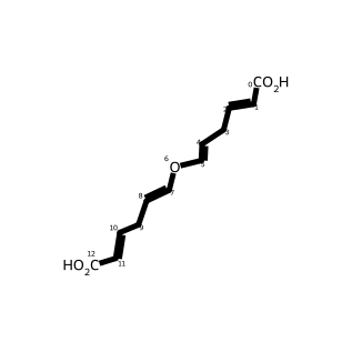 O=C(O)C=CCC=COC=CCC=CC(=O)O